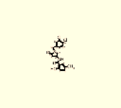 Cc1ccc(O)c(C(=O)NC2CC(=O)N(Cc3ccc(Cl)c(Cl)c3)C2)c1